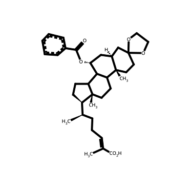 C/C(=C\CC[C@@H](C)[C@H]1CCC2C3C(CC[C@@]21C)[C@@]1(C)CCC2(C[C@@H]1C[C@H]3OC(=O)c1ccccc1)OCCO2)C(=O)O